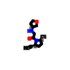 C#C[C@H]1CC[C@@H](C#N)N1C(=O)CN[C@@H]1CCOC1